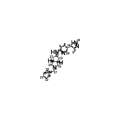 Cc1nn(C)cc1-c1ccc(N[C@H]2C[C@@H]3CN(CC4CC5C=CC4C5)C[C@@H]3C2)nc1